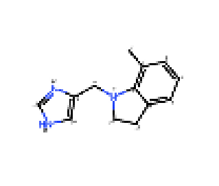 Cc1cccc2c1N(Cc1c[nH]cn1)CC2